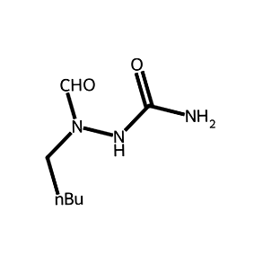 CCCCCN(C=O)NC(N)=O